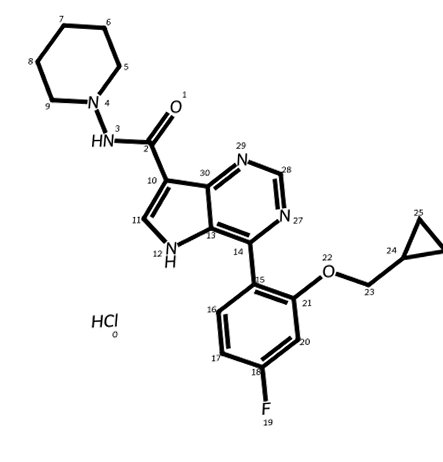 Cl.O=C(NN1CCCCC1)c1c[nH]c2c(-c3ccc(F)cc3OCC3CC3)ncnc12